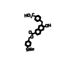 CSc1ccc(COC(=O)c2ccc3cc(O)c(Cc4ccc(C(=O)O)cc4)cc3c2)cc1